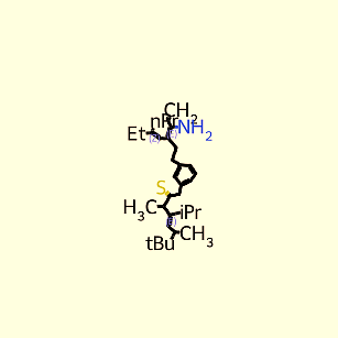 C=C/C(N)=C(\C=C(\CC)CCC)CCc1cccc(CC(=S)C(C)/C(=C/C(C)C(C)(C)C)C(C)C)c1